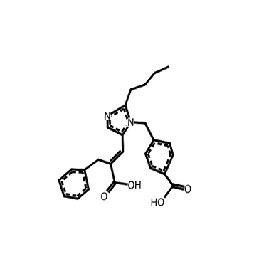 CCCCc1ncc(/C=C(\Cc2ccccc2)C(=O)O)n1Cc1ccc(C(=O)O)cc1